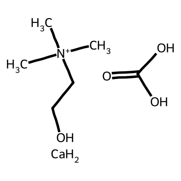 C[N+](C)(C)CCO.O=C(O)O.[CaH2]